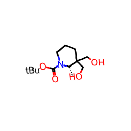 C[C@@H]1N(C(=O)OC(C)(C)C)CCCC1(CO)CO